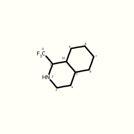 FC(F)(F)C1NCCC2CCCCC21